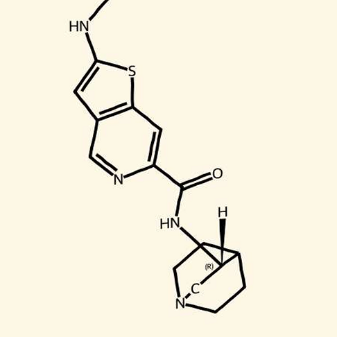 CNc1cc2cnc(C(=O)N[C@H]3CN4CCC3CC4)cc2s1